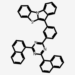 c1cc(-c2nc(-c3cccc4ccccc34)nc(-c3cccc4ccccc34)n2)cc(-c2c3ccccc3n3c2sc2ccccc23)c1